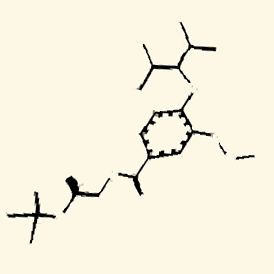 CONc1cc(C(=O)NCC(=O)OC(C)(C)C)ccc1NC(C(C)C)C(C)C